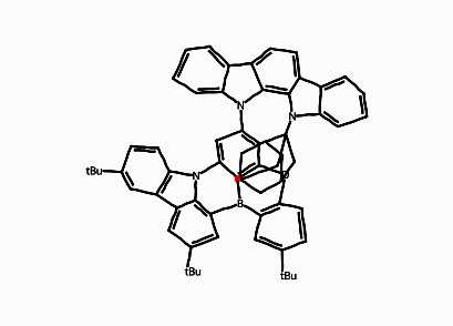 CC(C)(C)c1ccc2c(c1)B1c3c(cc(-n4c5ccccc5c5ccc6c7ccccc7n(C78CC9CC(CC7C9)C8)c6c54)cc3-n3c4ccc(C(C)(C)C)cc4c4cc(C(C)(C)C)cc1c43)O2